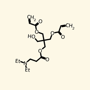 C=CC(=O)OCC(CO)(COC(=O)C=C)COC(=O)CCN(CC)CC